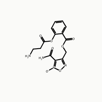 NCCC(=O)Oc1ccccc1C(=O)OCc1no[n+]([O-])c1C(N)=O